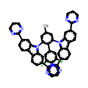 N#Cc1cc(-n2c3cc(-c4ncccn4)ccc3c3ccc(-c4ncccn4)cc32)c(-c2cc(F)cc(F)c2)c(-n2c3cc(-c4ncccn4)ccc3c3ccc(-c4ncccn4)cc32)c1